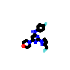 FCc1ccn(-c2nc(Nc3ccc(F)cc3)cc(N3CCOCC3)n2)n1